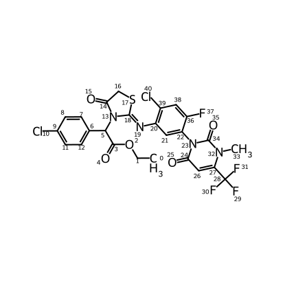 CCOC(=O)C(c1ccc(Cl)cc1)N1C(=O)CS/C1=N\c1cc(-n2c(=O)cc(C(F)(F)F)n(C)c2=O)c(F)cc1Cl